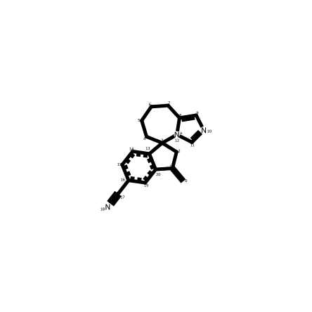 C=C1CC2(CCCCC3=CN=C[N+]32)c2ccc(C#N)cc21